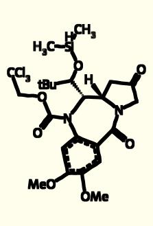 COc1cc2c(cc1OC)N(C(=O)OCC(Cl)(Cl)Cl)[C@H](C(O[SiH](C)C)C(C)(C)C)[C@@H]1CC(=O)CN1C2=O